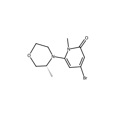 C[C@@H]1COCCN1c1cc(Br)cc(=O)n1C